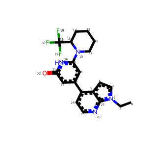 CCn1ccc2c(-c3cc(N4CCCCC4C(F)(F)F)[nH]c(=O)c3)ccnc21